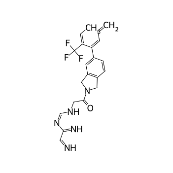 C=C/C=C(\C(=C/C)C(F)(F)F)c1ccc2c(c1)CN(C(=O)CN/C=N\C(=N)C=N)C2